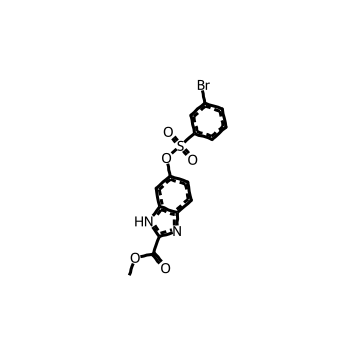 COC(=O)c1nc2ccc(OS(=O)(=O)c3cccc(Br)c3)cc2[nH]1